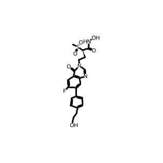 CS(=O)(=O)[C@H](CCn1cnc2cc(-c3ccc(CCO)cc3)c(F)cc2c1=O)C(=O)NO